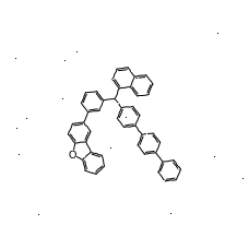 c1ccc(-c2ccc(-c3ccc(C(c4cccc(-c5ccc6oc7ccccc7c6c5)c4)c4cccc5ccccc45)cc3)cc2)cc1